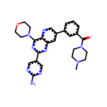 CN1CCN(C(=O)c2cccc(-c3cnc4c(N5CCOCC5)nc(-c5cnc(N)nc5)nc4c3)c2)CC1